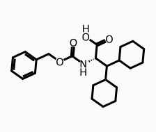 O=C(N[C@H](C(=O)O)C(C1CCCCC1)C1CCCCC1)OCc1ccccc1